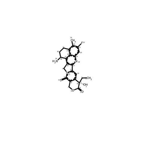 CC[C@@]1(O)C(=O)OCc2c1cc1n(c2=S)Cc2c-1nc1cc(F)c(C)c3c1c2C(N)CC3